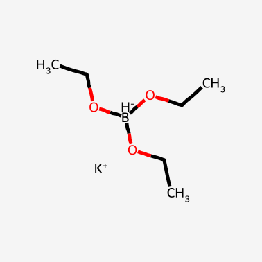 CCO[BH-](OCC)OCC.[K+]